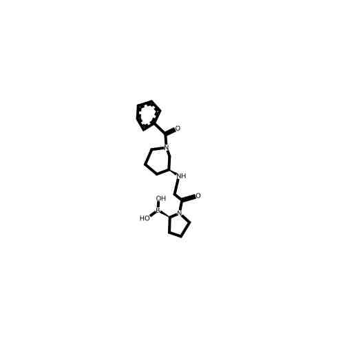 O=C(c1ccccc1)N1CCC[C@H](NCC(=O)N2CCC[C@H]2B(O)O)C1